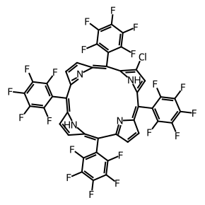 Fc1c(F)c(F)c(-c2c3nc(c(-c4c(F)c(F)c(F)c(F)c4F)c4cc(Cl)c([nH]4)c(-c4c(F)c(F)c(F)c(F)c4F)c4nc(c(-c5c(F)c(F)c(F)c(F)c5F)c5ccc2[nH]5)C=C4)C=C3)c(F)c1F